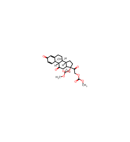 COC(=O)OCC(=O)[C@@]1(OC(=O)OC)CC[C@H]2[C@@H]3CCC4=CC(=O)C=C[C@]4(C)[C@H]3C(=O)C[C@@]21C